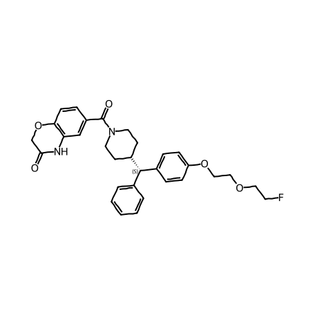 O=C1COc2ccc(C(=O)N3CCC([C@@H](c4ccccc4)c4ccc(OCCOCCF)cc4)CC3)cc2N1